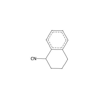 [C-]#[N+]C1CCCc2ccccc21